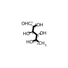 CC(O)[C@@H](O)[C@@H](O)[C@@H](O)C=O